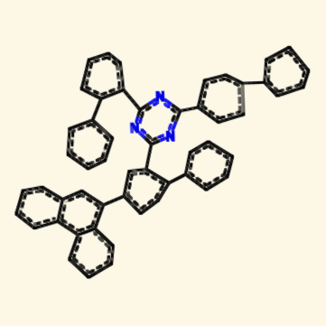 c1ccc(-c2ccc(-c3nc(-c4ccccc4-c4ccccc4)nc(-c4cc(-c5cc6ccccc6c6ccccc56)ccc4-c4ccccc4)n3)cc2)cc1